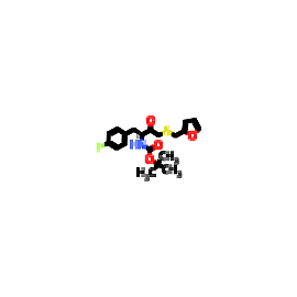 CC(C)(C)OC(=O)N[C@@H](Cc1ccc(F)cc1)C(=O)CSCc1ccco1